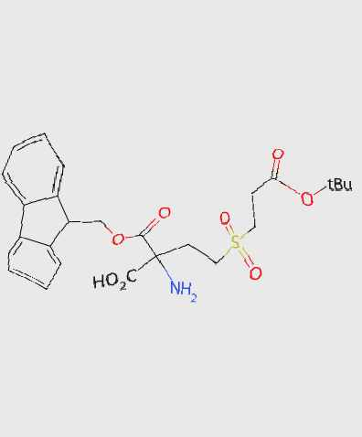 CC(C)(C)OC(=O)CCS(=O)(=O)CCC(N)(C(=O)O)C(=O)OCC1c2ccccc2-c2ccccc21